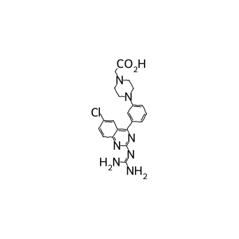 NC(N)=Nc1nc(-c2cccc(N3CCN(CC(=O)O)CC3)c2)c2cc(Cl)ccc2n1